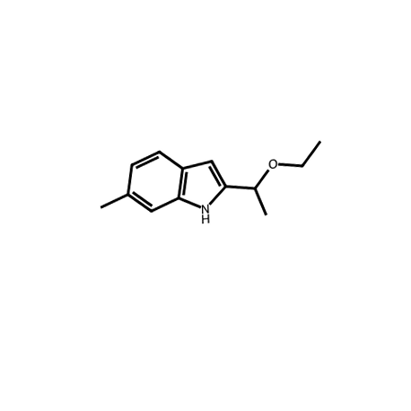 CCOC(C)c1cc2ccc(C)cc2[nH]1